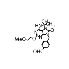 COCCOc1nc2c3c(n1)n(Cc1ccc(C=O)cc1)c(=O)n3C(C)(C)N2